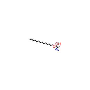 CCCCCCCCCCCCCCOC(O)C(C)N(C)C